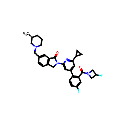 C[C@H]1CCCN(Cc2ccc3c(c2)C(=O)N(c2cc(-c4ccc(F)cc4C(=O)N4CC(F)C4)cc(C4CC4)n2)C3)C1